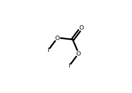 O=C(OI)OI